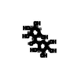 O=C(c1cc(O)c(O)c(O)c1O)c1c(O)cc(O)c(O)c1O